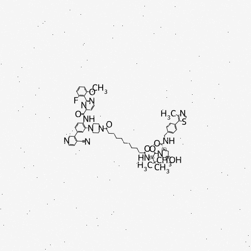 COc1cccc(F)c1-c1nccc(C(=O)Nc2ccc(-c3cnccc3C#N)cc2N2CCN(C(=O)CCCCCCCCCC(=O)N[C@H](C(=O)N3C[C@H](O)C[C@H]3C(=O)NCc3ccc(-c4scnc4C)cc3)C(C)(C)C)CC2)n1